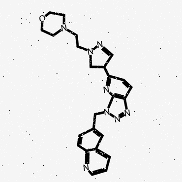 C1=NN(CCN2CCOCC2)CC1c1ccc2nnn(Cc3ccc4ncccc4c3)c2n1